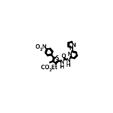 CCOC(=O)c1c(NC(=O)Nc2cccc(-n3cccn3)n2)sc(-c2ccc([N+](=O)[O-])cc2)c1C